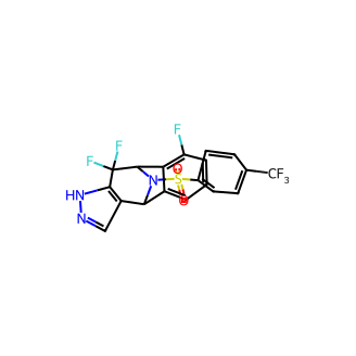 O=S(=O)(c1ccc(C(F)(F)F)cc1)N1C2c3cn[nH]c3C(F)(F)C1c1c(F)cccc12